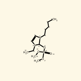 CCCCCN1C=CN(CC)C1OP(=O)(OC)OC